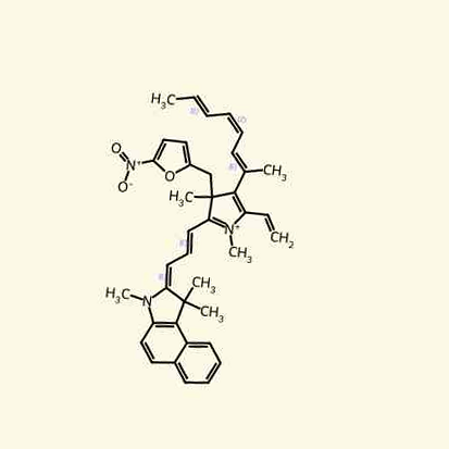 C=CC1=C(/C(C)=C/C=C\C=C\C)C(C)(Cc2ccc([N+](=O)[O-])o2)C(/C=C/C=C2/N(C)c3ccc4ccccc4c3C2(C)C)=[N+]1C